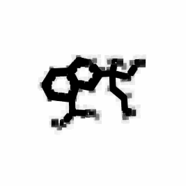 CN(C)c1cccc2cnc(C(C)(CCC(C)(C)C)SS)cc12